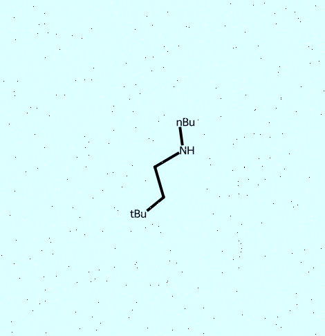 [CH2-][CH+]CCNCCC(C)(C)C